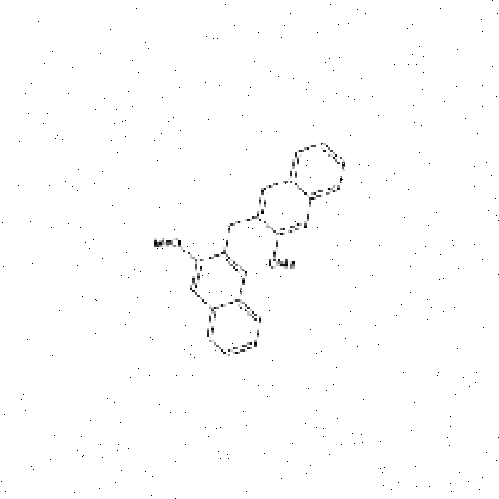 COc1cc2ccccc2cc1Cc1cc2ccccc2cc1OC